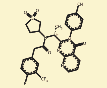 C[C@H](c1nc2ncccc2c(=O)n1-c1ccc(C#N)cc1)N(C(=O)Cc1ccc(F)c(C(F)(F)F)c1)C1CCS(=O)(=O)C1